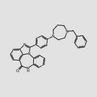 O=C1Nc2ccccc2-n2c(-c3ccc(N4CCCN(Cc5ccccc5)CC4)cc3)nc3cccc1c32